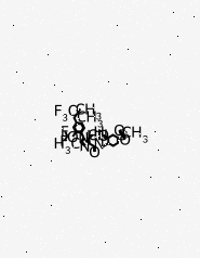 Cc1nc(C(=O)NCC2CCC(S(C)(=O)=O)CC2O)c(C#N)n1-c1ccc(CC(C)(C)C(F)(F)F)cc1OC(F)F